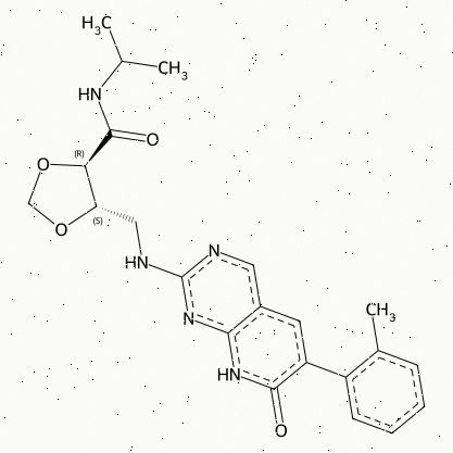 Cc1ccccc1-c1cc2cnc(NC[C@@H]3OCO[C@H]3C(=O)NC(C)C)nc2[nH]c1=O